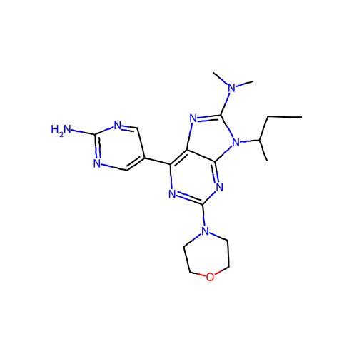 CCC(C)n1c(N(C)C)nc2c(-c3cnc(N)nc3)nc(N3CCOCC3)nc21